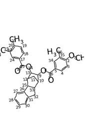 COc1ccc(C(=O)OC2C3CC(C2OC(=O)c2ccc(C)c(C)c2)C2c4ccccc4CC32)cc1C